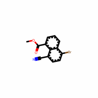 COC(=O)c1cccc2c(Br)ccc(C#N)c12